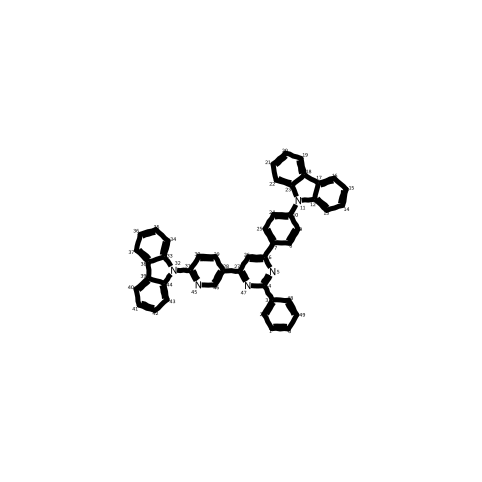 c1ccc(-c2nc(-c3ccc(-n4c5ccccc5c5ccccc54)cc3)cc(-c3ccc(-n4c5ccccc5c5ccccc54)nc3)n2)cc1